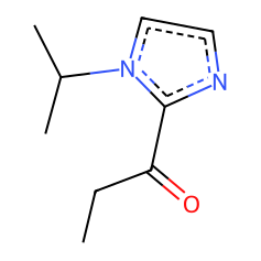 CCC(=O)c1nccn1C(C)C